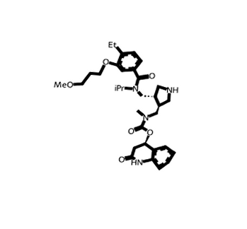 CCc1ccc(C(=O)N(C[C@@H]2CNC[C@H]2CN(C)C(=O)O[C@@H]2CC(=O)Nc3ccccc32)C(C)C)cc1OCCCOC